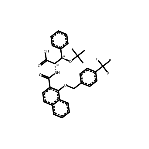 CC(C)(C)O[C@H](c1ccccc1)[C@H](NC(=O)c1ccc2ccccc2c1OCc1ccc(C(F)(F)F)cc1)C(=O)O